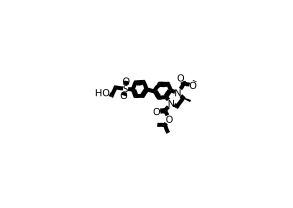 COC(=O)N1c2ccc(-c3ccc(S(=O)(=O)CCO)cc3)cc2N(C(=O)OC(C)C)C[C@@H]1C